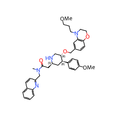 COCCCN1CCOc2ccc(CO[C@H]3CN[C@H](CC(=O)N(C)Cc4ccc5ccccc5n4)C[C@@H]3c3ccc(OC)cc3)cc21